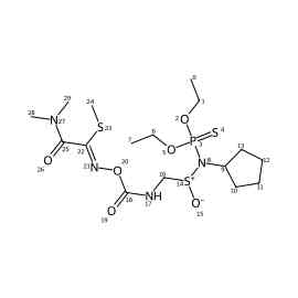 CCOP(=S)(OCC)N(C1CCCC1)[S+]([O-])CNC(=O)ON=C(SC)C(=O)N(C)C